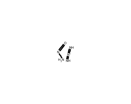 N=[N+]=N.NN=O